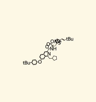 COC(=O)[C@H](Cc1ccc(C=CC(C)(C)C)s1)NC(=O)c1cc2ccc(Oc3ccc(C(C)(C)C)cc3)cc2c(CC2CCCC2)n1